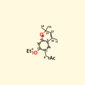 CCOc1cc2c(cc1CC(C)=O)C(C)=CC(C)(C)O2